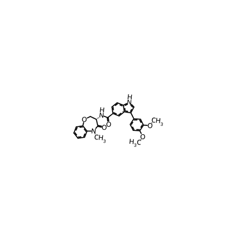 COc1ccc(-c2c[nH]c3ccc(C(=O)N[C@H]4COc5ccccc5N(C)C4=O)cc23)cc1OC